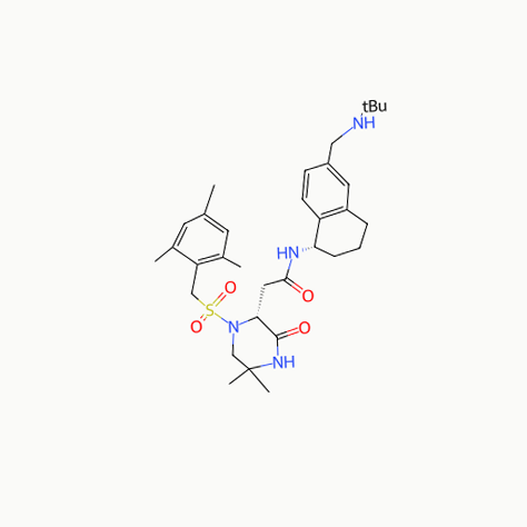 Cc1cc(C)c(CS(=O)(=O)N2CC(C)(C)NC(=O)[C@H]2CC(=O)N[C@H]2CCCc3cc(CNC(C)(C)C)ccc32)c(C)c1